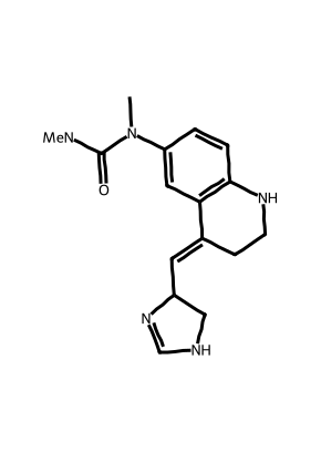 CNC(=O)N(C)c1ccc2c(c1)/C(=C/C1CNC=N1)CCN2